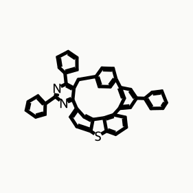 c1ccc(-c2cc3cc(c2)-c2cccc4sc5ccc(cc5c24)-c2nc(-c4ccccc4)nc(-c4ccccc4)c2Cc2ccc-3cc2)cc1